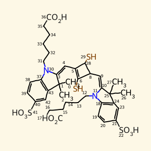 CC1(C)C(=CC2=C(S)C(C=C3N(CCCCCC(=O)O)c4ccc(S(=O)(=O)O)cc4C3(C)C)C2S)N(CCCCCC(=O)O)c2ccc(S(=O)(=O)O)cc21